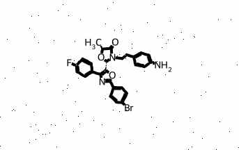 C[C@@H]1O[C@@H](c2oc(-c3ccc(Br)cc3)nc2-c2ccc(F)cc2)N(CCc2ccc(N)cc2)C1=O